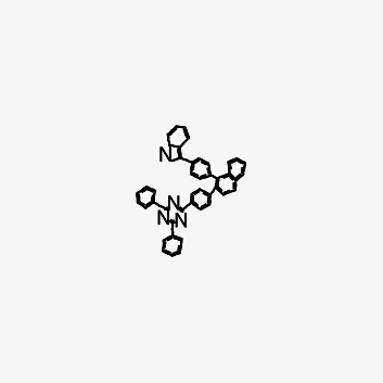 C1=CC2=C(c3ccc(-c4c(-c5ccc(-c6nc(-c7ccccc7)nc(-c7ccccc7)n6)cc5)ccc5ccccc45)cc3)C=NC2C=C1